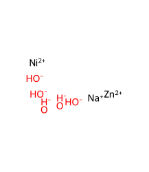 [Na+].[Ni+2].[OH-].[OH-].[OH-].[OH-].[OH-].[Zn+2]